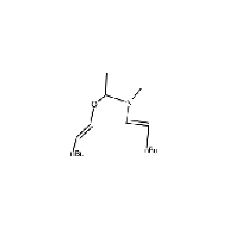 CCCCC=COC(C)N(C)C=CCCCC